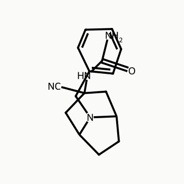 N#CC1(NC(N)=O)CC2CCC(C1)N2Cc1ccccc1